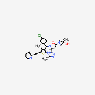 Cc1c(C#Cc2ccccn2)sc2c1C(c1ccc(Cl)cc1)=N[C@@H](CC(=O)N1CC(C)(O)C1)c1nnc(C)n1-2